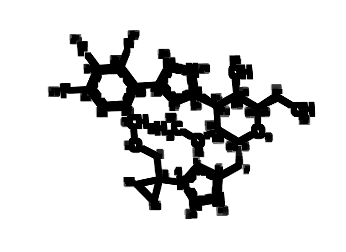 COCC1(n2cc(C[C@H]3O[C@H](CO)[C@H](O)[C@H](n4cc(-c5ccc(F)c(F)c5F)nn4)[C@H]3OC)nn2)CC1